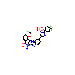 O=C1NC2CC(c3c(OC(F)F)cccc31)n1c2nc2ccc(-c3cnc(C4(O)CCC(F)(F)CC4)nc3)cc21